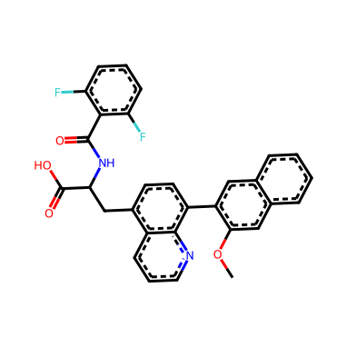 COc1cc2ccccc2cc1-c1ccc(CC(NC(=O)c2c(F)cccc2F)C(=O)O)c2cccnc12